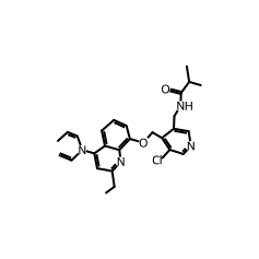 C=CN(/C=C\C)c1cc(CC)nc2c(OCc3c(Cl)cncc3CNC(=O)C(C)C)cccc12